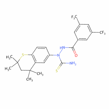 CC1(C)CC(C)(C)c2cc(N(NC(=O)c3cc(C(F)(F)F)cc(C(F)(F)F)c3)C(N)=S)ccc2S1